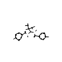 CN(C(=O)c1ccc(F)cc1)C1N(C)C(c2ccc(F)cc2)=NC1(C(F)(F)F)C(F)(F)F